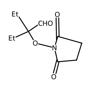 CCC(C=O)(CC)ON1C(=O)CCC1=O